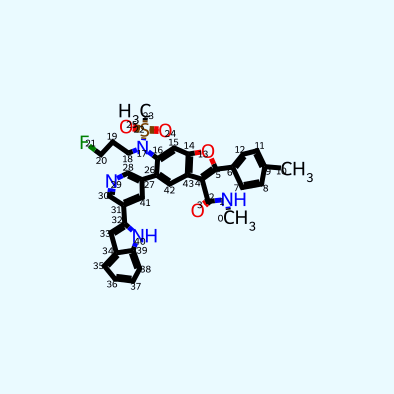 CNC(=O)c1c(-c2ccc(C)cc2)oc2cc(N(CCCF)S(C)(=O)=O)c(-c3cncc(-c4cc5ccccc5[nH]4)c3)cc12